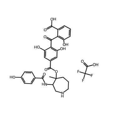 CC1(OC(=O)c2cc(O)c(C(=O)c3c(O)cccc3C(=O)O)c(O)c2)CCCNCC1NC(=O)c1ccc(O)cc1.O=C(O)C(F)(F)F